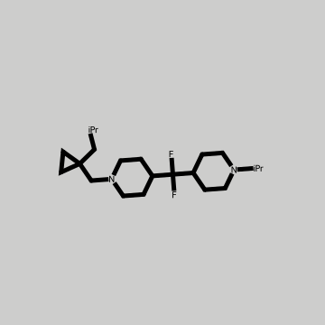 CC(C)CC1(CN2CCC(C(F)(F)C3CCN(C(C)C)CC3)CC2)CC1